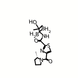 BC(B)(NC(=O)c1nc(C(=O)N2CCC[C@@H]2C)cs1)C(C)(C)O